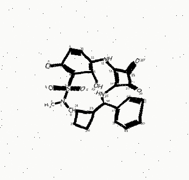 CN(C)S(=O)(=O)c1c(Cl)ccc(Nc2c(N[C@@H](c3ccccc3)C3CCC3)c(=O)c2=O)c1O